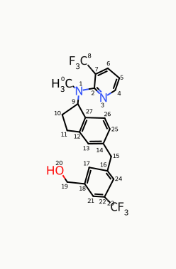 CN(c1ncccc1C(F)(F)F)C1CCc2cc(Cc3cc(CO)cc(C(F)(F)F)c3)ccc21